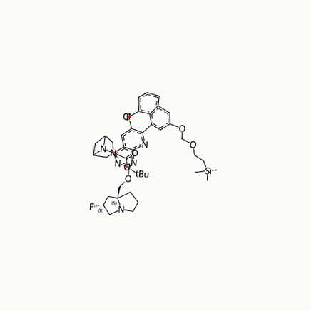 CC(C)(C)OC(=O)N1CC2CC(C1)N2c1nc(OC[C@@]23CCCN2C[C@H](F)C3)nc2nc(-c3cc(OCOCC[Si](C)(C)C)cc4cccc(Cl)c34)c(F)cc12